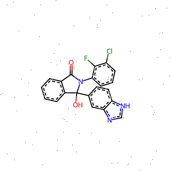 O=C1c2ccccc2C(O)(c2ccc3[nH][c]nc3c2)N1c1cccc(Cl)c1F